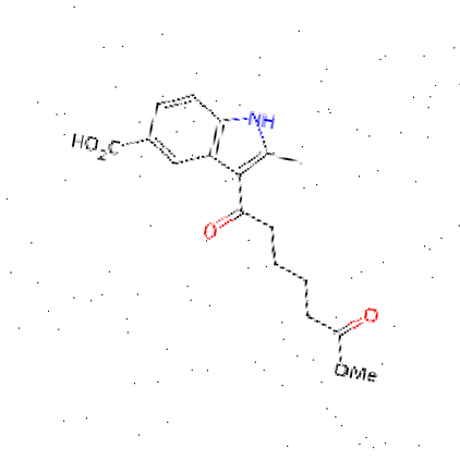 COC(=O)CCCCC(=O)c1c(C)[nH]c2ccc(C(=O)O)cc12